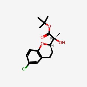 CC(C)(C)OC(=O)[C@@](C)(O)[C@H]1CCc2cc(Cl)ccc2O1